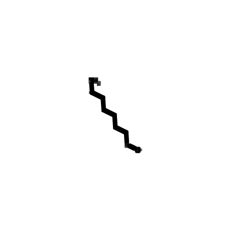 N[CH]CCCCCS[O]